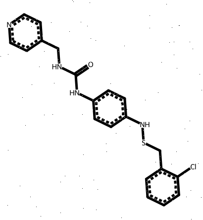 O=C(NCc1ccncc1)Nc1ccc(NSCc2ccccc2Cl)cc1